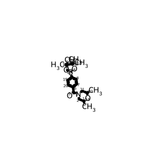 CC1CN(C(=O)c2ccc(B3OC(C)(C)C(C)(C)O3)cc2)CC(C)O1